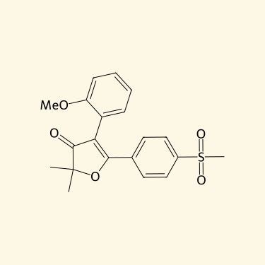 COc1ccccc1C1=C(c2ccc(S(C)(=O)=O)cc2)OC(C)(C)C1=O